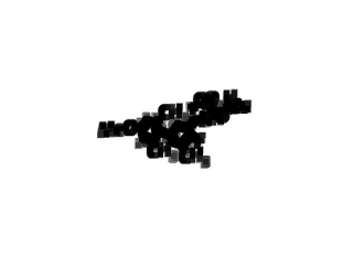 COc1cc(C)c(-c2cc(C)c(F)c([C@H](CC(=O)O)NC(=O)OC(C)(C)C)c2)c(C)c1